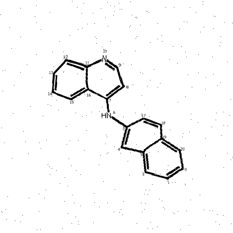 c1ccc2cc(Nc3ccnc4ccccc34)ccc2c1